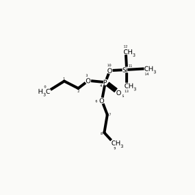 CCCOP(=O)(OCCC)O[Si](C)(C)C